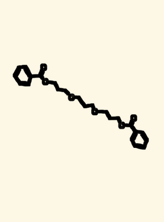 O=C(OCCCOCCCOCCCOC(=O)c1ccccc1)c1ccccc1